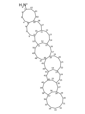 NC1CCCC2CCCC3CC(CCCC4CCC5CCCCC6CCC7CC8CCCCCCCCC(CCCC(CC(CCC5CCCCC(C4)C3)C6)C7)C8)CCC2CCC1